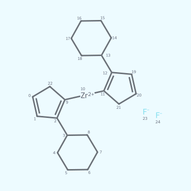 C1=CC(C2CCCCC2)=[C]([Zr+2][C]2=C(C3CCCCC3)C=CC2)C1.[F-].[F-]